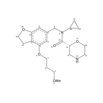 COCCCOc1cc(CN(C(=O)[C@H]2CNCCO2)C2CC2)cc2c1CCO2